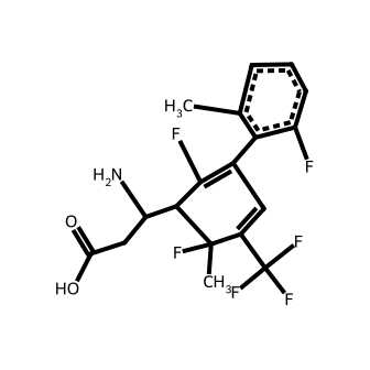 Cc1cccc(F)c1C1=C(F)C(C(N)CC(=O)O)C(C)(F)C(C(F)(F)F)=C1